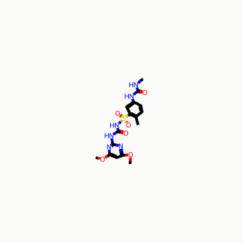 CNC(=O)Nc1ccc(C)c(S(=O)(=O)NC(=O)Nc2nc(OC)cc(OC)n2)c1